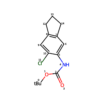 CC(C)(C)OC(=O)Nc1cc2c(cc1Cl)CCC2